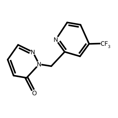 O=c1cccnn1Cc1cc(C(F)(F)F)ccn1